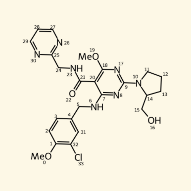 COc1ccc(CNc2nc(N3CCCC3CO)nc(OC)c2C(=O)NCc2ncccn2)cc1Cl